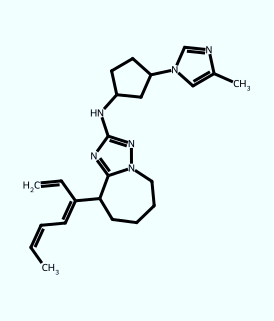 C=C/C(=C\C=C/C)C1CCCCn2nc(NC3CCC(n4cnc(C)c4)C3)nc21